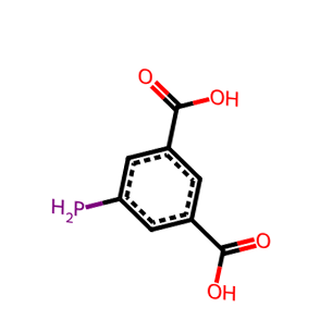 O=C(O)c1cc(P)cc(C(=O)O)c1